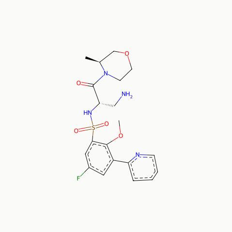 COc1c(-c2ccccn2)cc(F)cc1S(=O)(=O)N[C@@H](CN)C(=O)N1CCOC[C@@H]1C